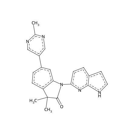 Cc1ncc(-c2ccc3c(c2)N(c2ccc4cc[nH]c4n2)C(=O)C3(C)C)cn1